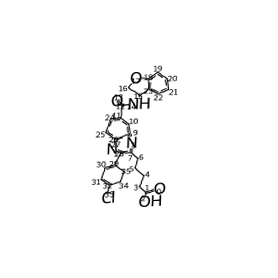 O=C(O)CCCCc1nc2cc(C(=O)N[C@@H]3COc4ccccc43)ccc2nc1C1=CC=C(Cl)CC1